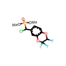 COP(=O)(OC)C(Cl)c1ccc2c(c1)OC(F)(F)C(F)O2